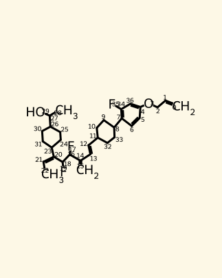 C=CCOc1ccc(C2CCC(/C=C/C(=C)C(F)C(F)/C(=C\C)C3CCC(C(C)O)CC3)CC2)c(F)c1